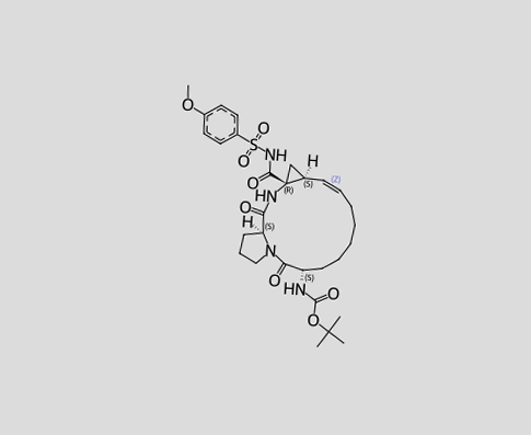 COc1ccc(S(=O)(=O)NC(=O)[C@@]23C[C@H]2/C=C\CCCCC[C@H](NC(=O)OC(C)(C)C)C(=O)N2CCC[C@H]2C(=O)N3)cc1